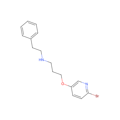 Brc1ccc(OCCCNCCc2ccccc2)cn1